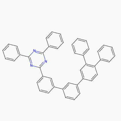 c1ccc(-c2nc(-c3ccccc3)nc(-c3cccc(-c4cccc(-c5ccc(-c6ccccc6)c(-c6ccccc6)c5)c4)c3)n2)cc1